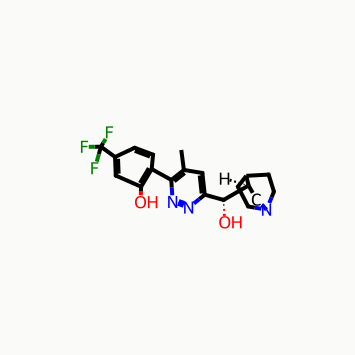 Cc1cc([C@@H](O)[C@@H]2CN3CCC2CC3)nnc1-c1ccc(C(F)(F)F)cc1O